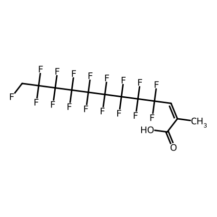 CC(=CC(F)(F)C(F)(F)C(F)(F)C(F)(F)C(F)(F)C(F)(F)C(F)(F)C(F)(F)CF)C(=O)O